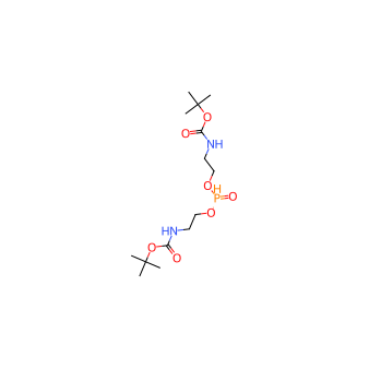 CC(C)(C)OC(=O)NCCO[PH](=O)OCCNC(=O)OC(C)(C)C